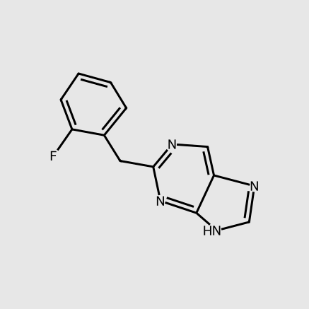 Fc1ccccc1Cc1ncc2nc[nH]c2n1